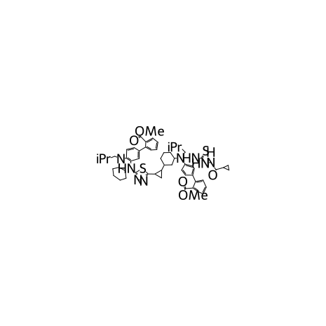 COC(=O)c1ccccc1-c1ccc(N(CC(C)C)C2CCCC(C3CC3c3nnc(Nc4cc(-c5ccccc5C(=O)OC)ccc4N(CC(C)C)C4CCCCC4)s3)C2)c(NC(=S)NNC(=O)C2CC2)c1